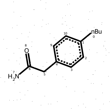 CCCCc1ccc([CH]C(N)=O)cc1